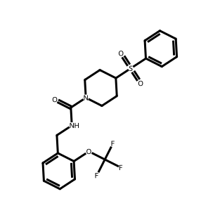 O=C(NCc1ccccc1OC(F)(F)F)N1CCC(S(=O)(=O)c2ccccc2)CC1